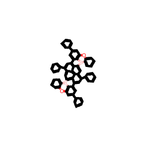 c1ccc(-c2cc3c4c(c2)-c2cc(-c5ccccc5)c5cc6c7c(cc(-c8ccccc8)c8cc(c2c5c87)B4c2ccccc2O3)-c2cc(-c3ccccc3)cc3c2B6c2ccccc2O3)cc1